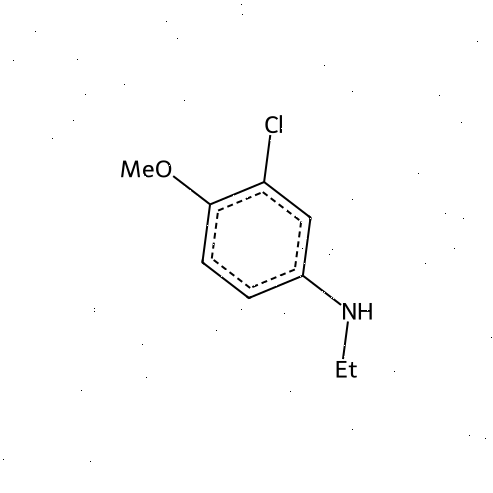 CCNc1ccc(OC)c(Cl)c1